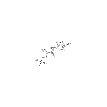 CC(F)(F)CC[C@@H](N)C(=O)NC12CCC(F)(CC1)CC2